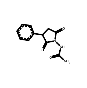 NC(=O)NN1C(=O)CC(c2ccccc2)C1=O